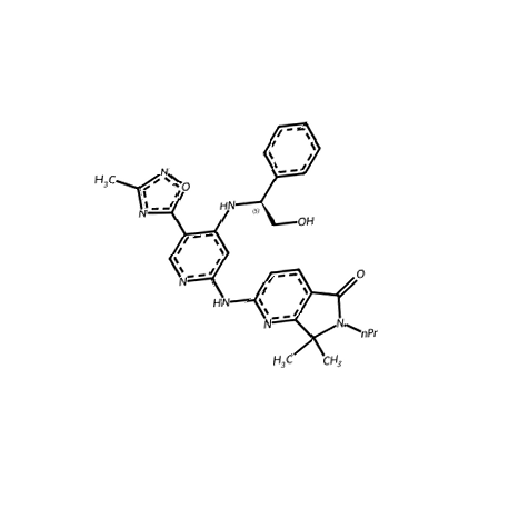 CCCN1C(=O)c2ccc(Nc3cc(N[C@H](CO)c4ccccc4)c(-c4nc(C)no4)cn3)nc2C1(C)C